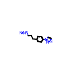 [N-]=[N+]=NCCCc1ccc(-n2ccnn2)cc1